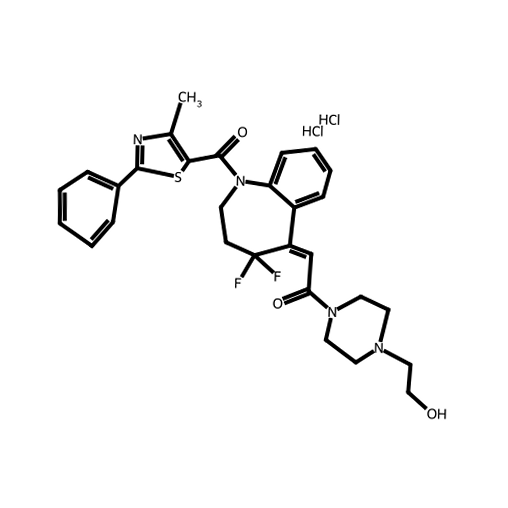 Cc1nc(-c2ccccc2)sc1C(=O)N1CCC(F)(F)C(=CC(=O)N2CCN(CCO)CC2)c2ccccc21.Cl.Cl